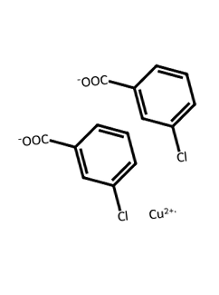 O=C([O-])c1cccc(Cl)c1.O=C([O-])c1cccc(Cl)c1.[Cu+2]